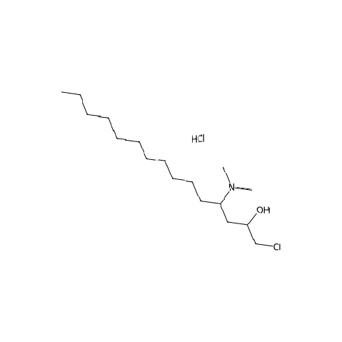 CCCCCCCCCCCC(CC(O)CCl)N(C)C.Cl